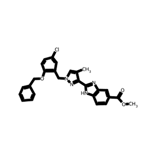 COC(=O)c1ccc2[nH]c(-c3nn(Cc4cc(Cl)ccc4OCc4ccccc4)cc3C)nc2c1